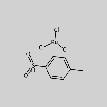 Cc1ccc([SH](=O)=O)cc1.[Cl][Ru]([Cl])[Cl]